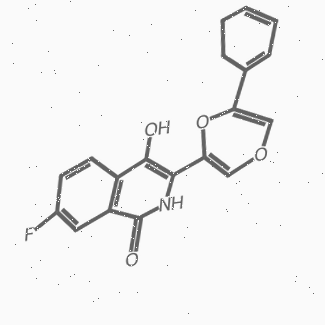 O=c1[nH]c(C2=COC=C(C3=CC=CCC3)O2)c(O)c2ccc(F)cc12